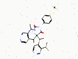 CC(C)c1cnccc1C(C)C1(C(C)c2ccncc2C(C)C)NC(=O)N(c2ccc(S(=O)(=O)C(F)(F)F)cc2)C1=O